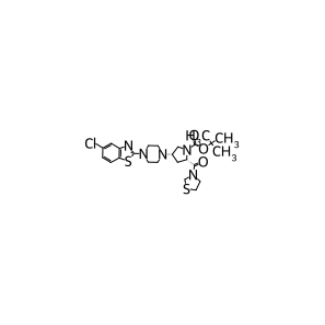 CC(C)(C)OC(=O)N1C[C@@H](N2CCN(c3nc4cc(Cl)ccc4s3)CC2)C[C@H]1C(=O)N1CCSC1